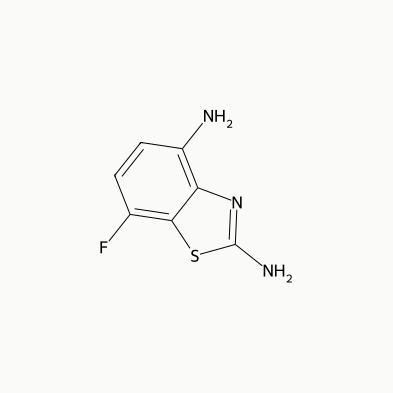 Nc1nc2c(N)ccc(F)c2s1